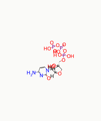 Nc1ccn([C@@H]2O[C@@]3(COP(=O)(O)OP(=O)(O)OP(=O)(O)O)CO[C@@H]2[C@@H]3O)c(=O)n1